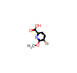 COc1nc(C(=O)O)ccc1Br